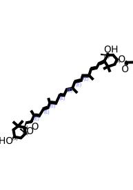 CC(=O)O[C@H]1CC(C)(C)C(=CC=C/C(C)=C/C=C/C(C)=C/C=C/C=C(C)/C=C/C=C(\C)C(=O)C[C@@]23O[C@]2(C)C[C@@H](O)CC3(C)C)[C@](C)(O)C1